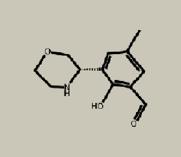 Cc1cc(C=O)c(O)c([C@H]2COCCN2)c1